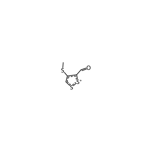 CSc1cs[s+]c1C=O